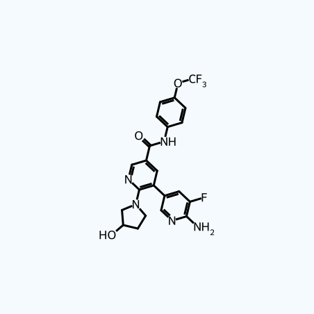 Nc1ncc(-c2cc(C(=O)Nc3ccc(OC(F)(F)F)cc3)cnc2N2CCC(O)C2)cc1F